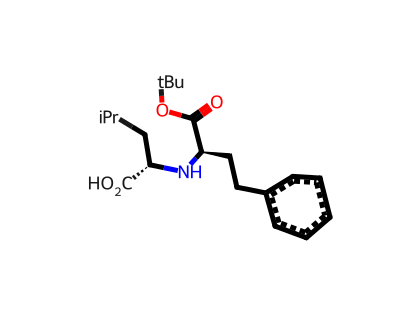 CC(C)C[C@H](N[C@H](CCc1ccccc1)C(=O)OC(C)(C)C)C(=O)O